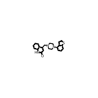 O=c1cc(CN2CCN(c3cccc4sccc34)CC2)c2ccccc2[nH]1